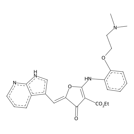 CCOC(=O)C1=C(Nc2ccccc2OCCN(C)C)O/C(=C\c2c[nH]c3ncccc23)C1=O